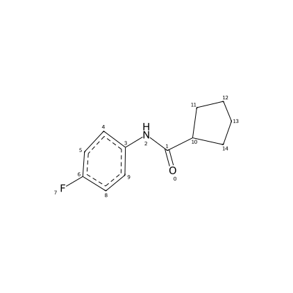 O=C(Nc1ccc(F)cc1)C1CCCC1